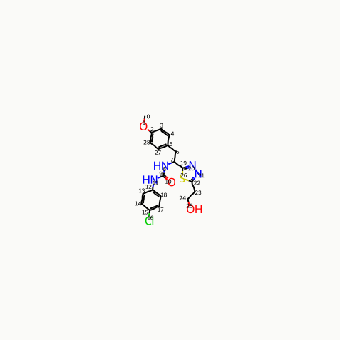 COc1ccc(CC(NC(=O)Nc2ccc(Cl)cc2)c2nnc(CCO)s2)cc1